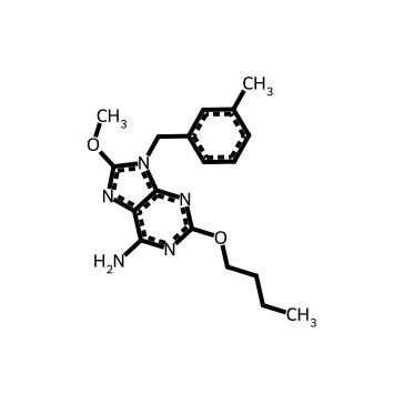 CCCCOc1nc(N)c2nc(OC)n(Cc3cccc(C)c3)c2n1